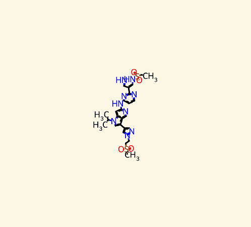 CCS(=O)(=O)N/C=C(\C=N)c1nccc(Nc2cc3c(cn2)c(-c2cnn(CCS(C)(=O)=O)c2)cn3C(C)C)n1